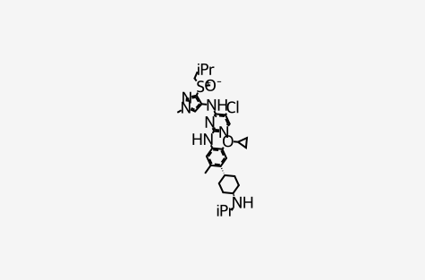 Cc1cc(Nc2ncc(Cl)c(Nc3cn(C)nc3[S+]([O-])CC(C)C)n2)c(OC2CC2)cc1[C@H]1CC[C@@H](NC(C)C)CC1